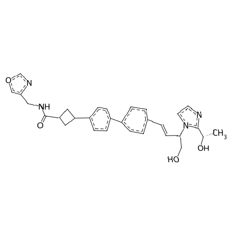 C[C@H](O)c1nccn1C(/C=C/c1ccc(-c2ccc(C3CC(C(=O)NCc4cocn4)C3)cc2)cc1)CO